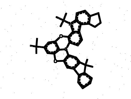 CC(C)(C)c1cc2c3c(c1)Oc1c(ccc4c5c6c(ccc5n(C(C)(C)C)c14)CCC6)B3c1cc3c(cc1O2)-c1ccccc1C3(C)C